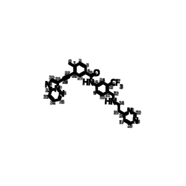 Cc1ccc(C(=O)Nc2ccc(CNCCc3ccncn3)c(C(F)(F)F)c2)cc1C#Cc1cnc2cccnn12